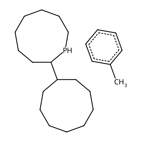 C1CCCCC(C2CCCCCCCP2)CCC1.Cc1ccccc1